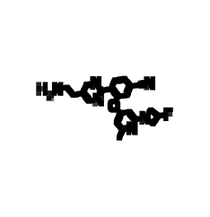 Cc1cc(Oc2cc(C#N)ccc2-c2ncc(CCN)cn2)cc(N2CC(F)C2)n1